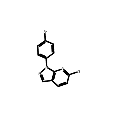 Clc1ccc2cnn(-c3ccc(Br)cc3)c2n1